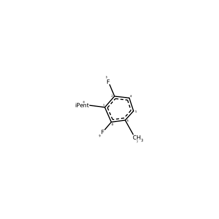 CCCC(C)c1c(F)ccc(C)c1F